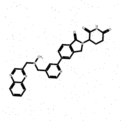 CN(Cc1ccnc(-c2ccc3c(c2)CN(C2CCC(=O)NC2=O)C3=O)c1)Cc1cnc2ccccc2n1